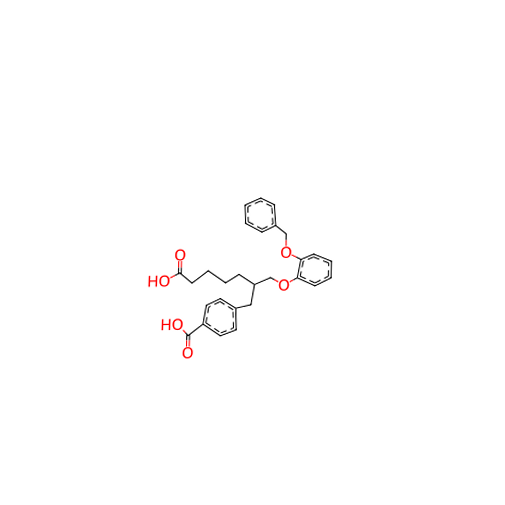 O=C(O)CCCCC(COc1ccccc1OCc1ccccc1)Cc1ccc(C(=O)O)cc1